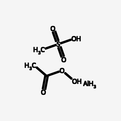 CC(=O)OO.CS(=O)(=O)O.[AlH3]